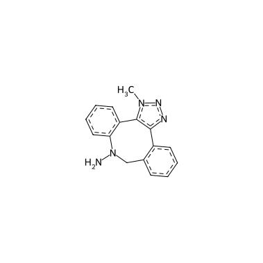 Cn1nnc2c1-c1ccccc1N(N)Cc1ccccc1-2